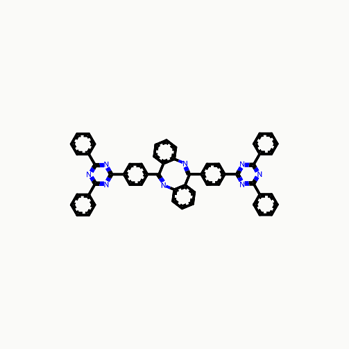 c1ccc(-c2nc(-c3ccccc3)nc(-c3ccc(/C4=N/c5ccccc5/C(c5ccc(-c6nc(-c7ccccc7)nc(-c7ccccc7)n6)cc5)=N\c5ccccc54)cc3)n2)cc1